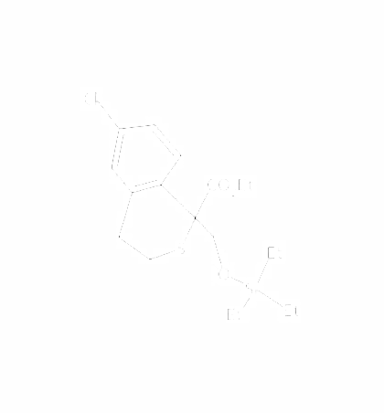 CCOC(=O)C1(CO[Si](CC)(CC)CC)SCCc2cc(Cl)ccc21